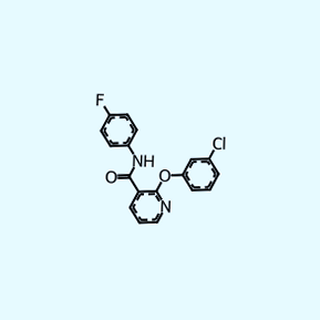 O=C(Nc1ccc(F)cc1)c1cccnc1Oc1cccc(Cl)c1